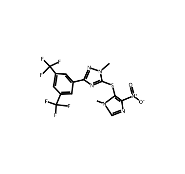 Cn1cnc([N+](=O)[O-])c1Sc1nc(-c2cc(C(F)(F)F)cc(C(F)(F)F)c2)nn1C